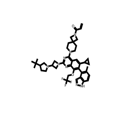 C=CC(=O)N1CC2(CCN(c3nc(N4CC(N5CCC(C(C)(C)C)C5)C4)nc4c(OCC(F)(F)F)c(-c5c(C)ccc6[nH]ncc56)c(C5CC5)cc34)CC2)C1